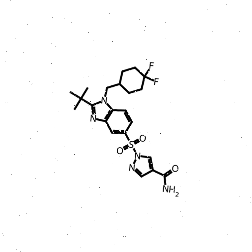 CC(C)(C)c1nc2cc(S(=O)(=O)n3cc(C(N)=O)cn3)ccc2n1CC1CCC(F)(F)CC1